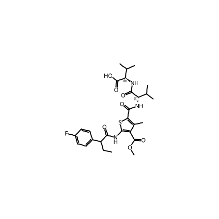 CCC(C(=O)Nc1sc(C(=O)N[C@H](C(=O)N[C@@H](C(=O)O)C(C)C)C(C)C)c(C)c1C(=O)OC)c1ccc(F)cc1